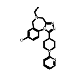 CCN1Cc2cc(Cl)ccc2-n2c(nnc2C2CCN(c3ccccn3)CC2)C1